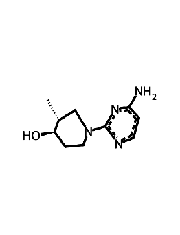 C[C@@H]1CN(c2nccc(N)n2)CC[C@H]1O